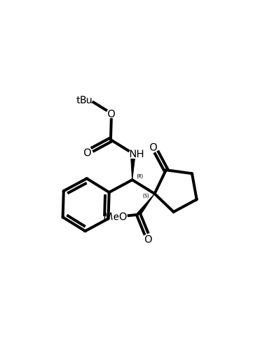 COC(=O)[C@]1([C@H](NC(=O)OC(C)(C)C)c2ccccc2)CCCC1=O